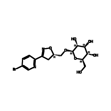 OC[C@H]1O[C@@H](OC[C@@H]2CC(c3ccc(Br)cn3)=NO2)[C@H](O)[C@@H](O)[C@@H]1O